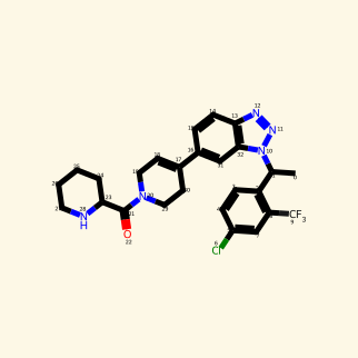 CC(c1ccc(Cl)cc1C(F)(F)F)n1nnc2ccc(C3=CCN(C(=O)C4CCCCN4)CC3)cc21